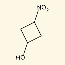 O=[N+]([O-])C1CC(O)C1